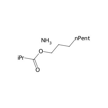 CCCCCCCCOC(=O)C(C)C.N